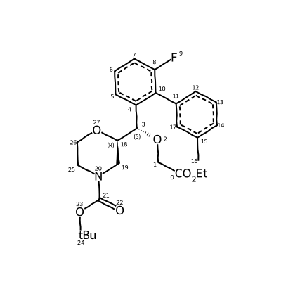 CCOC(=O)CO[C@@H](c1cccc(F)c1-c1cccc(C)c1)[C@H]1CN(C(=O)OC(C)(C)C)CCO1